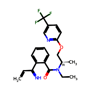 C=CC(=N)c1ccccc1C(=O)N(CC)[C@@H](C)COc1ccc(C(F)(F)F)cn1